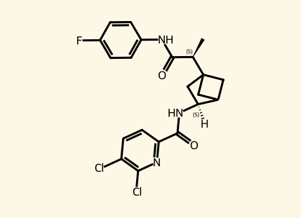 C[C@H](C(=O)Nc1ccc(F)cc1)C12CC(C1)[C@@H](NC(=O)c1ccc(Cl)c(Cl)n1)C2